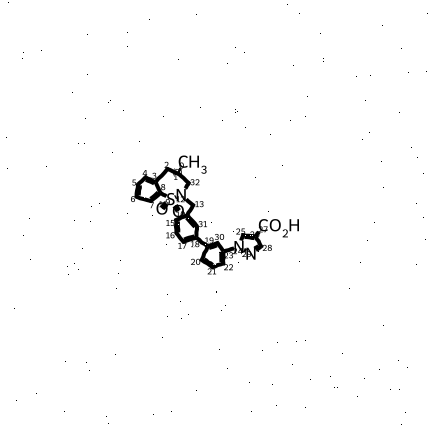 C[C@@H]1Cc2ccccc2S(=O)(=O)N(Cc2cccc(-c3cccc(-n4cc(C(=O)O)cn4)c3)c2)C1